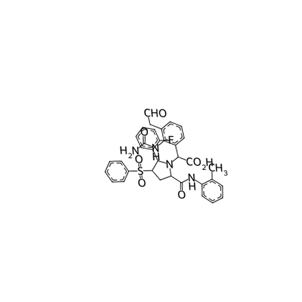 Cc1ccccc1NC(=O)C1CC(S(=O)(=O)c2ccccc2)C(c2ccccc2F)N1C(C(=O)O)c1cccc(CC=O)c1NC(N)=O